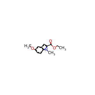 CCOC(=O)c1cc2cc(OC)ccc2n1C